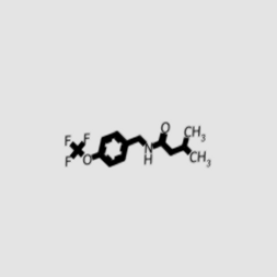 CC(C)CC(=O)NCc1ccc(OC(F)(F)F)cc1